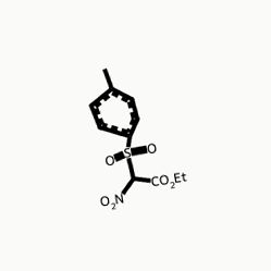 CCOC(=O)C([N+](=O)[O-])S(=O)(=O)c1ccc(C)cc1